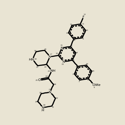 COc1ccc(-c2cc(-c3ccc(F)cc3)nc(N3CCNCC3NC(=O)CN3CCNCC3)n2)cc1